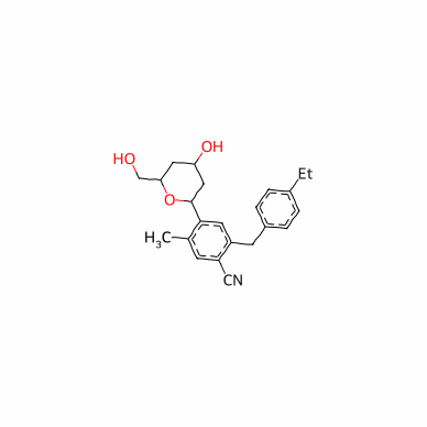 CCc1ccc(Cc2cc(C3CC(O)CC(CO)O3)c(C)cc2C#N)cc1